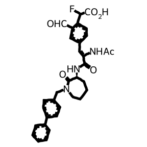 CC(=O)NC(=Cc1ccc(C(F)C(=O)O)c(C=O)c1)C(=O)N[C@H]1CCCCN(Cc2ccc(-c3ccccc3)cc2)C1=O